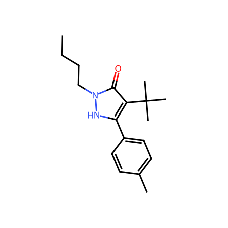 CCCCn1[nH]c(-c2ccc(C)cc2)c(C(C)(C)C)c1=O